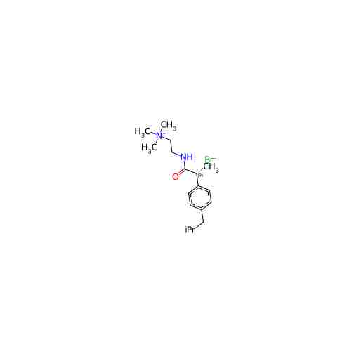 CC(C)Cc1ccc([C@@H](C)C(=O)NCC[N+](C)(C)C)cc1.[Br-]